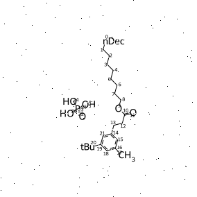 CCCCCCCCCCCCCCCCCCOC(=O)CCc1cc(C)cc(C(C)(C)C)c1.O=P(O)(O)O